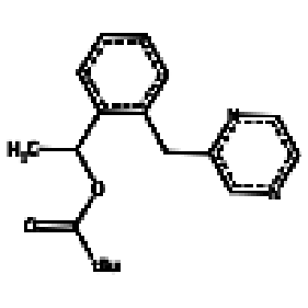 CC(OC(=O)C(C)(C)C)c1ccccc1Cc1cnccn1